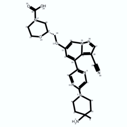 CC1(N)CCN(c2cnc(-c3cc(OC[C@H]4CN(C(=O)O)CCO4)cn4ncc(C#N)c34)cn2)CC1